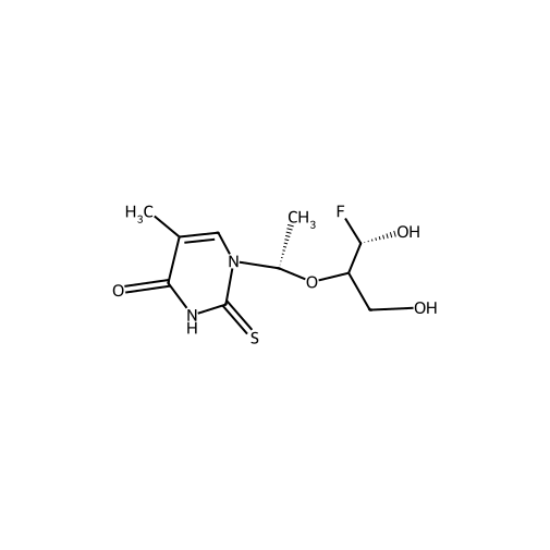 Cc1cn([C@H](C)OC(CO)[C@@H](O)F)c(=S)[nH]c1=O